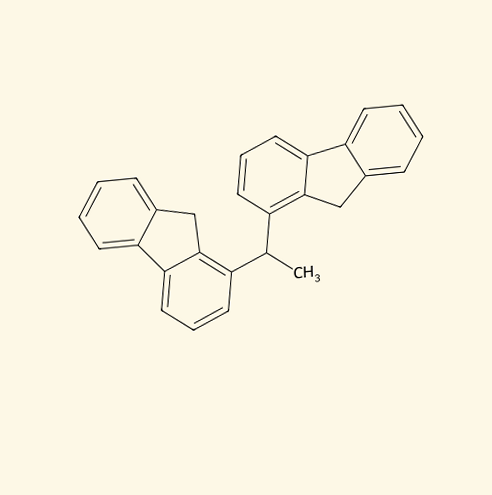 CC(c1cccc2c1Cc1ccccc1-2)c1cccc2c1Cc1ccccc1-2